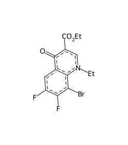 CCOC(=O)c1cn(CC)c2c(Br)c(F)c(F)cc2c1=O